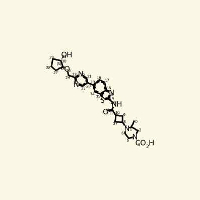 CC1CN(C(=O)O)CCN1C1CC(C(=O)Nc2nc3ccc(-c4cnc(CO[C@H]5CCC[C@@H]5O)nc4)cc3s2)C1